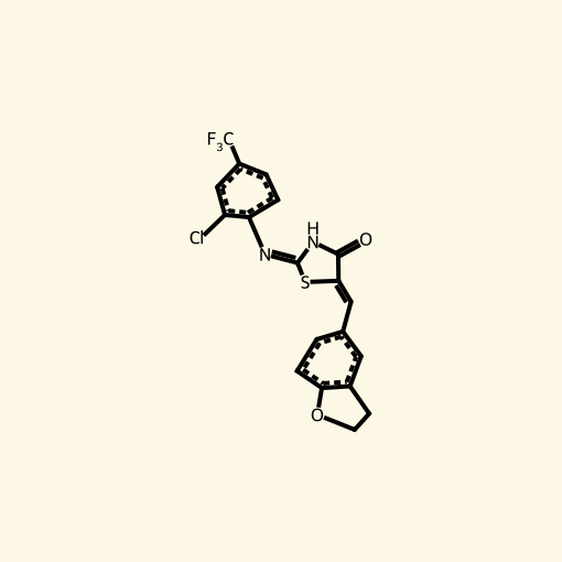 O=C1N/C(=N\c2ccc(C(F)(F)F)cc2Cl)S/C1=C\c1ccc2c(c1)CCO2